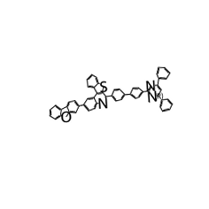 CN1C(c2ccc(-c3ccc(-c4nc5ccc(-c6ccc7c(c6)oc6ccccc67)cc5c5c4sc4ccccc45)cc3)cc2)=NC(c2ccccc2)=C[C@@H]1c1ccccc1